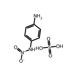 Nc1ccc(N[N+](=O)[O-])cc1.O=S(=O)(O)O